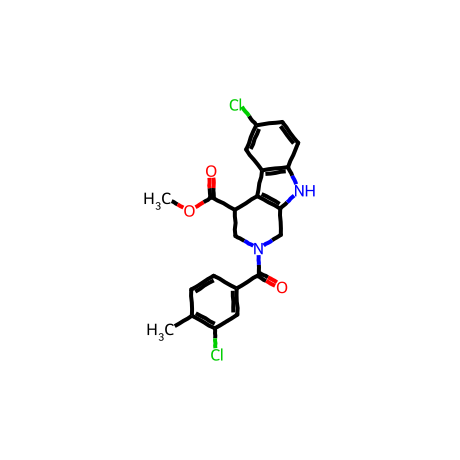 COC(=O)C1CN(C(=O)c2ccc(C)c(Cl)c2)Cc2[nH]c3ccc(Cl)cc3c21